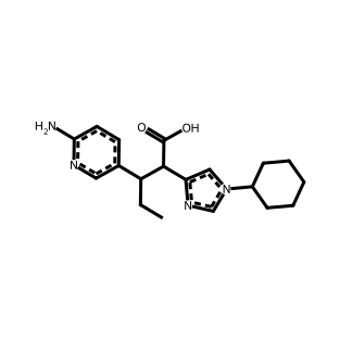 CCC(c1ccc(N)nc1)C(C(=O)O)c1cn(C2CCCCC2)cn1